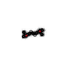 CC(C)(C)c1ccccc1N(c1ccccc1)c1ccc2cc3c(cc2c1)oc1cc2c(cc13)oc1cc3cc(N(c4ccccc4)c4ccccc4C(C)(C)C)ccc3cc12